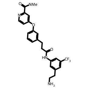 CNC(=O)c1cc(Oc2cccc(CCC(=O)Nc3cc(CCN)cc(C(F)(F)F)c3)c2)ccn1